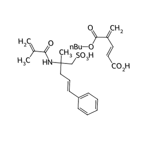 C=C(C)C(=O)NC(C)(CC=Cc1ccccc1)CS(=O)(=O)O.C=C(C=CC(=O)O)C(=O)OCCCC